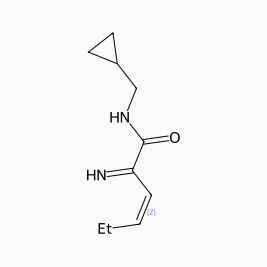 CC/C=C\C(=N)C(=O)NCC1CC1